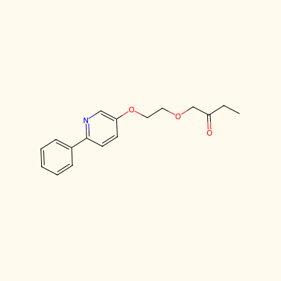 CCC(=O)COCCOc1ccc(-c2ccccc2)nc1